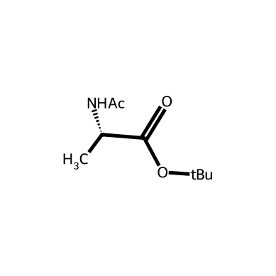 CC(=O)N[C@@H](C)C(=O)OC(C)(C)C